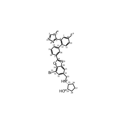 Cn1cnnc1-c1cc(F)ccc1-c1cccc(-c2nc3cc(CN[C@@H]4CCC[C@@H]4O)cc(Br)c3o2)c1